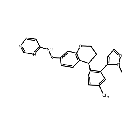 Cn1nccc1-c1cc(C(F)(F)F)ccc1[C@@H]1CCOc2cc(SNc3ccncn3)ccc21